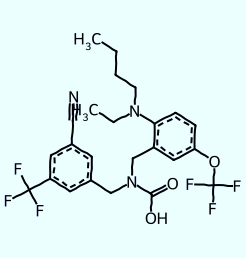 CCCCN(CC)c1ccc(OC(F)(F)F)cc1CN(Cc1cc(C#N)cc(C(F)(F)F)c1)C(=O)O